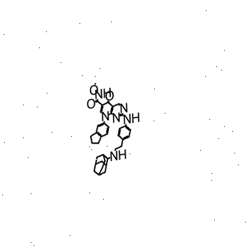 CONC(=O)c1cn(-c2ccc3c(c2)CCC3)c2nc(Nc3ccc(CCNC4C5CC6CC(C5)CC4C6)cc3)ncc2c1=O